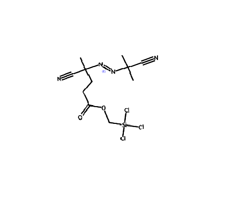 CC(C)(C#N)/N=N/C(C)(C#N)CCC(=O)OC[Si](Cl)(Cl)Cl